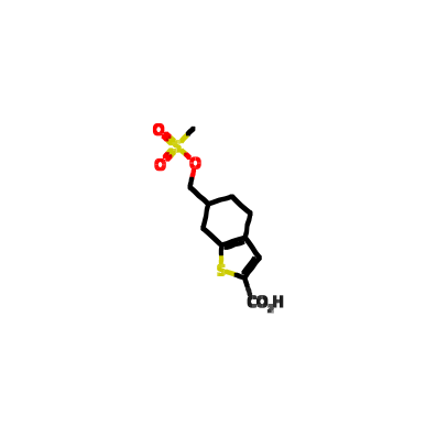 CS(=O)(=O)OCC1CCc2cc(C(=O)O)sc2C1